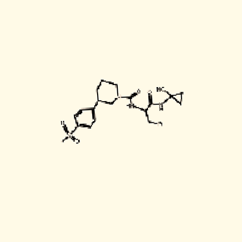 CC(C)CC(NC(=O)N1CCCC(c2ccc(S(C)(=O)=O)cc2)C1)C(=O)NC1(C#N)CC1